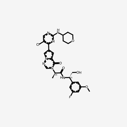 COc1cc(F)cc([C@@H](CO)NC(=O)[C@@H](C)n2cnn3cc(-c4nc(NC5CCOCC5)ncc4Cl)cc3c2=O)c1